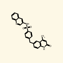 O=c1cc(C(F)(F)F)c2cc(Cc3ccc(S(=O)(=O)Nc4cnc5ccccc5c4)cc3)ccc2[nH]1